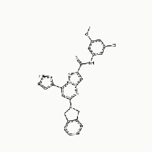 COc1cc(Cl)cc(NC(=O)c2cc3nc(N4Cc5ccccc5C4)cc(-c4cn[nH]c4)n3n2)c1